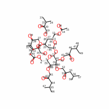 CC(=O)OC[C@@H]1OC(OC2O[C@H](COC(C)=O)[C@@H](OCC(=O)C(C)C)[C@H](OCC(=O)C(C)C)[C@H]2OCC(=O)C(C)C)[C@@H](OCC(=O)CC(C)C)[C@H](OCC(=O)CC(C)C)[C@H]1OCC(=O)CC(C)C